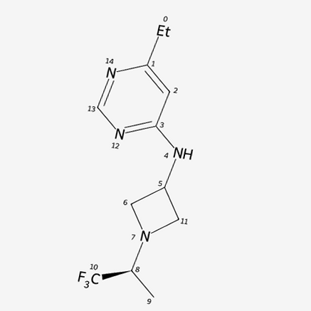 CCc1cc(NC2CN([C@@H](C)C(F)(F)F)C2)ncn1